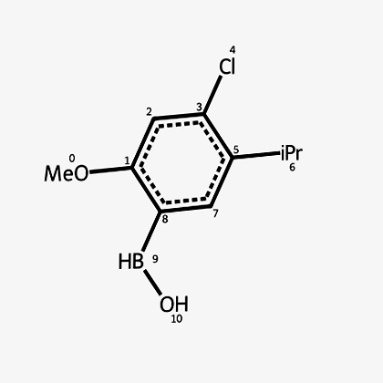 COc1cc(Cl)c(C(C)C)cc1BO